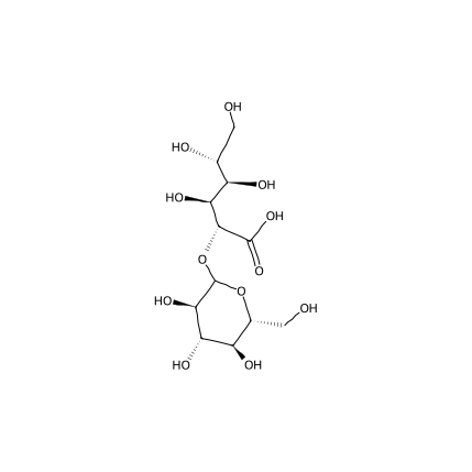 O=C(O)[C@H](OC1O[C@H](CO)[C@@H](O)[C@H](O)[C@H]1O)[C@@H](O)[C@H](O)[C@H](O)CO